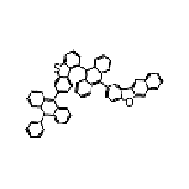 C1=CC2=C(c3ccc4c(c3)sc3cccc(C5=c6ccccc6=C(c6ccc7oc8cc9ccccc9cc8c7c6)C6C=CC=CC56)c34)c3ccccc3C(c3ccccc3)C2C=C1